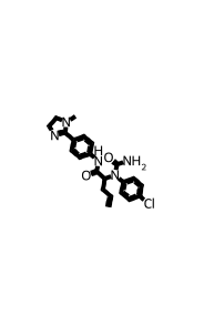 C=CCC(C(=O)Nc1ccc(C2=NCCN2C)cc1)N(C(N)=O)c1ccc(Cl)cc1